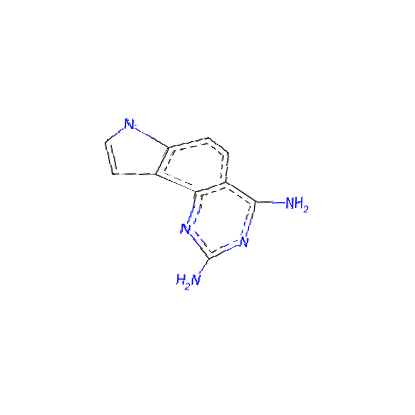 Nc1nc(N)c2ccc3c(c2n1)C=C[N]3